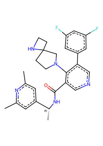 Cc1cc([C@@H](C)NC(=O)c2cncc(-c3cc(F)cc(F)c3)c2N2CCC3(CCN3)C2)cc(C)n1